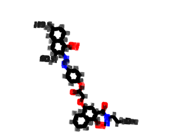 CCCCCCCCCCCCNC(=O)c1cc(OCC(=O)Oc2ccc(/N=N/c3c(S(=O)(=O)O)cc4cc(S(=O)(=O)O)ccc4c3O)cc2)c2ccccc2c1O